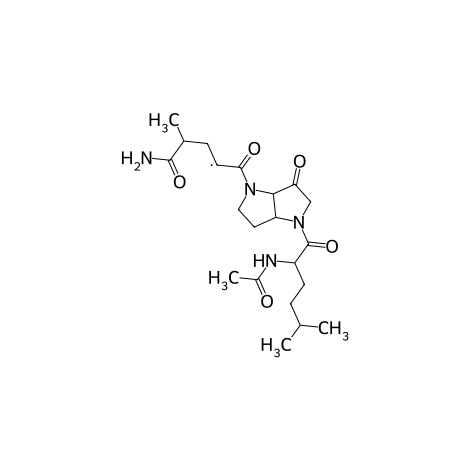 CC(=O)NC(CCC(C)C)C(=O)N1CC(=O)C2C1CCN2C(=O)[CH]CC(C)C(N)=O